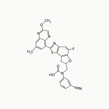 COc1cnc2c(-c3nc4cc(F)c5c(c4s3)CC(CN(C(=O)O)c3cccc(C#N)c3)O5)cc(C)cc2n1